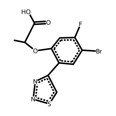 CC(Oc1cc(F)c(Br)cc1-c1csnn1)C(=O)O